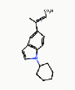 C/C(=C\C(=O)O)c1ccc2c(ccn2C2CCCCC2)c1